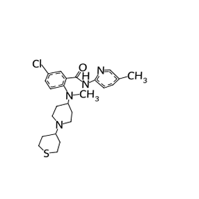 Cc1ccc(NC(=O)c2cc(Cl)ccc2N(C)C2CCN(C3CCSCC3)CC2)nc1